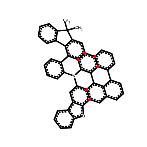 CC1(C)c2ccccc2-c2c(-c3ccccc3N(c3ccc4oc5ccccc5c4c3)c3ccccc3-c3cccc4cccc(-c5ccccc5)c34)cccc21